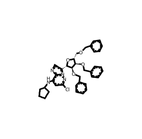 Clc1cc(NC2CCCC2)c2ncc([C@@H]3O[C@H](COCc4ccccc4)[C@@H](OCc4ccccc4)[C@H]3OCc3ccccc3)n2n1